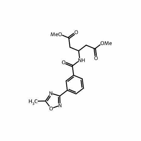 COC(=O)CC(CC(=O)OC)NC(=O)c1cccc(-c2noc(C)n2)c1